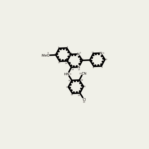 COc1ccc2nc(-c3cccnc3)nc(Nc3ccc(Cl)cc3C#N)c2c1